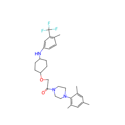 Cc1cc(C)c(N2CCN(C(=O)COC3CCC(Nc4ccc(C)c(C(F)(F)F)c4)CC3)CC2)c(C)c1